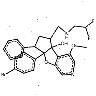 COc1cncc2c1C1(O)C(CNCC(F)F)CC(c3ccccc3)C1(c1ccc(Br)cc1)O2